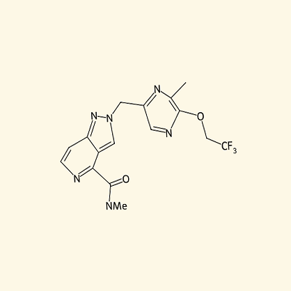 CNC(=O)c1nccc2nn(Cc3cnc(OCC(F)(F)F)c(C)n3)cc12